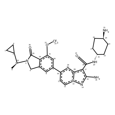 C[C@@H](C1CC1)N1Cc2cc(-c3ccn4nc(N)c(C(=O)N[C@H]5CC[C@H](N)CC5)c4n3)cc(OC(F)(F)F)c2C1=O